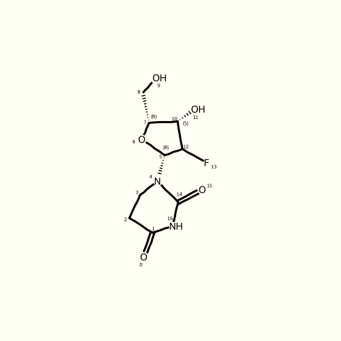 O=C1CCN([C@@H]2O[C@H](CO)[C@H](O)C2F)C(=O)N1